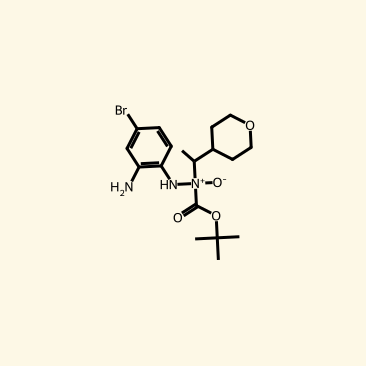 CC(C1CCOCC1)[N+]([O-])(Nc1ccc(Br)cc1N)C(=O)OC(C)(C)C